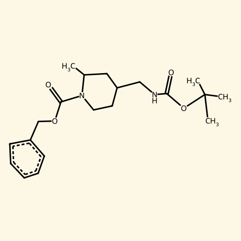 CC1CC(CNC(=O)OC(C)(C)C)CCN1C(=O)OCc1ccccc1